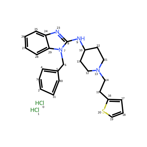 Cl.Cl.c1ccc(Cn2c(NC3CCN(CCc4cccs4)CC3)nc3ccccc32)cc1